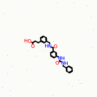 O=C(O)CCc1cccc(CNC(=O)c2cccc(NC(=O)NCc3ccccc3)c2)c1